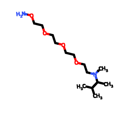 CC(C)C(C)N(C)CCOCCOCCOCCON